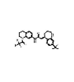 O=C(C=C1CCCOc2cc(C(F)(F)F)ccc21)Nc1ccc2c(c1)N(C(=O)C(F)(F)F)CCC2